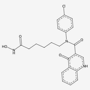 O=C(CCCCCN(C(=O)c1c[nH]c2ccccc2c1=O)c1ccc(Cl)cc1)NO